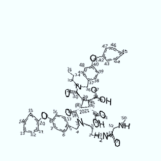 CCCN(Cc1ccc(Oc2ccccc2)cc1)C(=O)[C@H]1[C@@H](C(=O)O)[C@H](C(=O)O)[C@@H]1C(=O)N(CCC)Cc1ccc(Oc2ccccc2)cc1.CNCC(N)=O